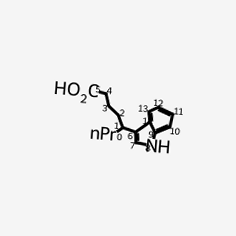 CCCC(CCCC(=O)O)c1c[nH]c2ccccc12